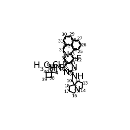 CN(C)C1(CNc2nc(NCC34CCCN3CCC4)nc3c(F)c(-c4cccc5cccc(I)c45)ncc23)CCC1